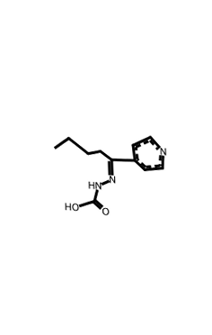 CCCCC(=NNC(=O)O)c1ccncc1